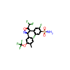 Cc1ccc(-c2noc(C(F)F)c2-c2cc(F)c(S(N)(=O)=O)cc2F)cc1OC(F)(F)F